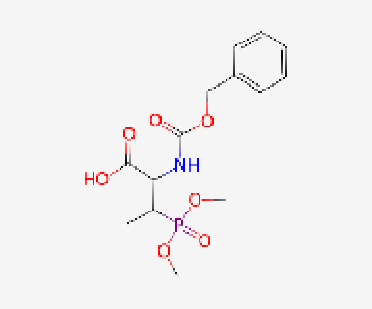 COP(=O)(OC)C(C)C(NC(=O)OCc1ccccc1)C(=O)O